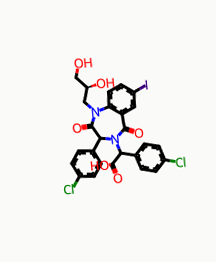 O=C(O)C(c1ccc(Cl)cc1)N1C(=O)c2cc(I)ccc2N(C[C@H](O)CO)C(=O)C1c1ccc(Cl)cc1